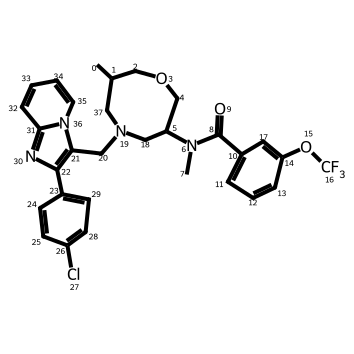 CC1COCC(N(C)C(=O)c2cccc(OC(F)(F)F)c2)CN(Cc2c(-c3ccc(Cl)cc3)nc3ccccn23)C1